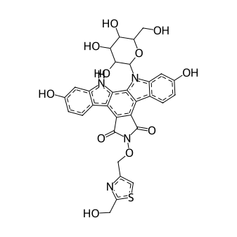 O=C1c2c(c3c4ccc(O)cc4n(C4OC(CO)C(O)C(O)C4O)c3c3[nH]c4cc(O)ccc4c23)C(=O)N1OCc1csc(CO)n1